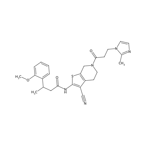 COc1ccccc1C(C)CC(=O)Nc1sc2c(c1C#N)CCN(C(=O)CCn1ccnc1C)C2